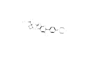 O=C(O)C1(Sc2nc3nc(-c4ccc(N5CCOCC5)cc4)c(Cl)cc3[nH]2)CCC1